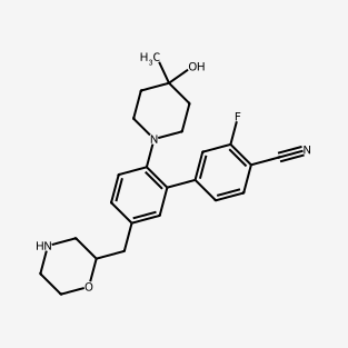 CC1(O)CCN(c2ccc(CC3CNCCO3)cc2-c2ccc(C#N)c(F)c2)CC1